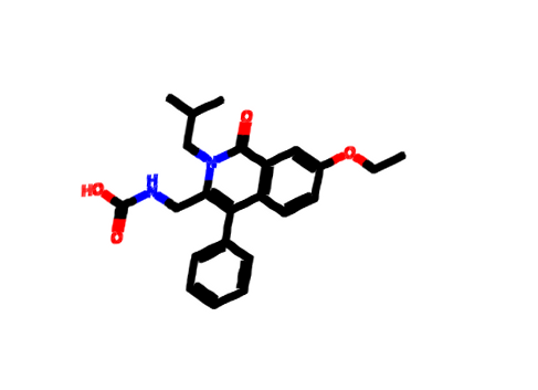 CCOc1ccc2c(-c3ccccc3)c(CNC(=O)O)n(CC(C)C)c(=O)c2c1